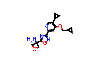 NC1(c2nc(-c3cc(OCC4CC4)c(C4CC4)cn3)no2)COC1